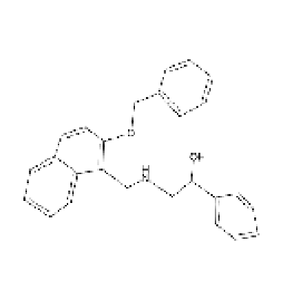 OC(CNCc1c(OCc2ccccc2)ccc2ccccc12)c1ccccc1